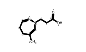 CC1=CN(CCC(=O)O)N=CCC1